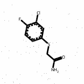 NC(=O)CSc1ccc(F)c(Cl)c1